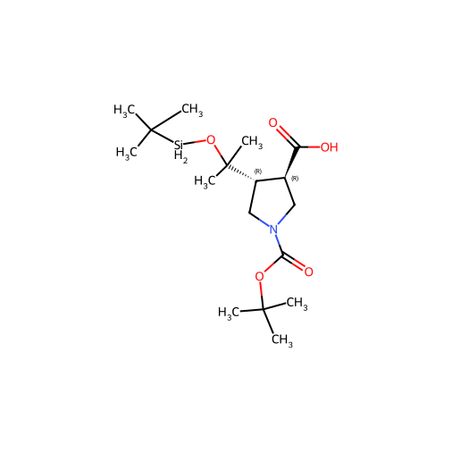 CC(C)(C)OC(=O)N1C[C@H](C(=O)O)[C@@H](C(C)(C)O[SiH2]C(C)(C)C)C1